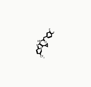 O=C(Cc1ccc(F)c(F)c1)Nc1nc2ccc(C(F)(F)F)cn2c1C1CC1